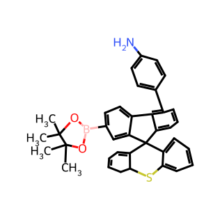 CC1(C)OB(c2ccc3c(c2)C2(C4=CC=CCC4Sc4ccccc42)c2cccc(-c4ccc(N)cc4)c2-3)OC1(C)C